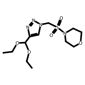 CCOC(OCC)c1cn(CS(=O)(=O)N2CCOCC2)nn1